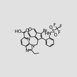 CCc1nc2ccc(C(=O)O)nc2n1Cc1c2ccocc-2c(Br)c1-c1ccccc1NS(=O)(=O)C(F)(F)F